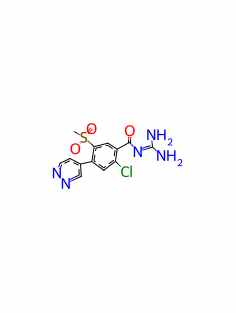 CS(=O)(=O)c1cc(C(=O)N=C(N)N)c(Cl)cc1-c1ccnnc1